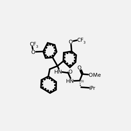 COC(=O)[C@H](CC(C)C)NC(=O)NC(Cc1ccccc1)(c1cccc(OC(F)(F)F)c1)c1cccc(OC(F)(F)F)c1